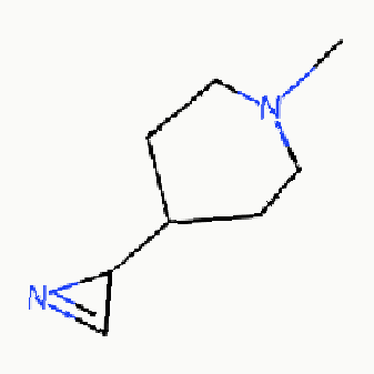 CN1CCC(C2C=N2)CC1